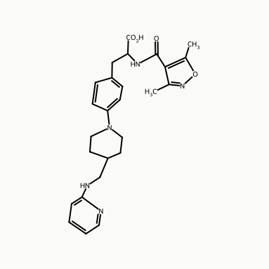 Cc1noc(C)c1C(=O)NC(Cc1ccc(N2CCC(CNc3ccccn3)CC2)cc1)C(=O)O